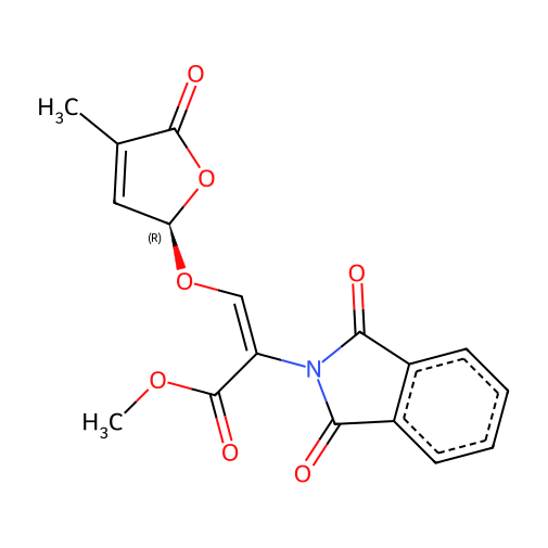 COC(=O)C(=CO[C@H]1C=C(C)C(=O)O1)N1C(=O)c2ccccc2C1=O